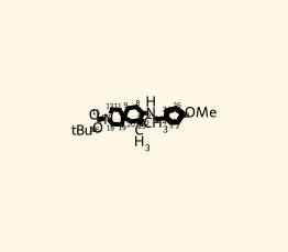 COc1ccc(CNC2CCC3(CCN(C(=O)OC(C)(C)C)CC3)CC2(C)C)cc1